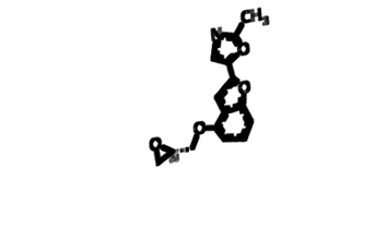 Cc1ncc(-c2cc3c(OC[C@@H]4CO4)cccc3o2)o1